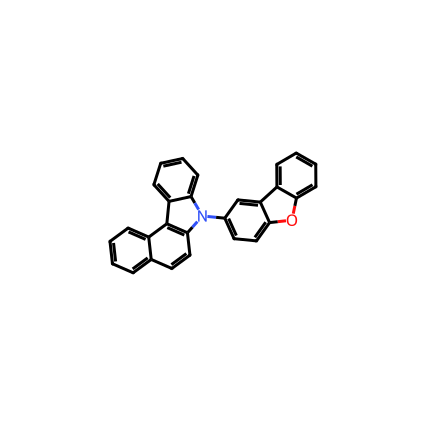 c1ccc2c(c1)ccc1c2c2ccccc2n1-c1ccc2oc3ccccc3c2c1